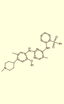 Cc1cc(Nc2ncc(C)c(Nc3ccccc3S(=O)(=O)C(C)C)n2)c(OC(C)C)cc1C1CCN(C)CC1